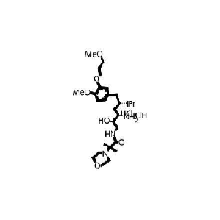 COCCCOc1cc(C[C@@H](C[C@H](N)[C@@H](O)CNC(=O)C(C)(C)N2CCOCC2)C(C)C)ccc1OC.Cl.Cl